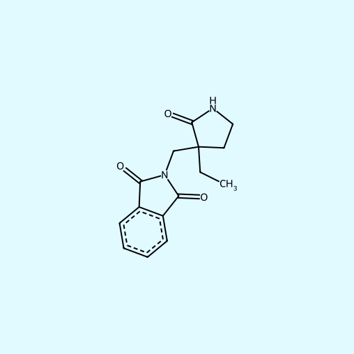 CCC1(CN2C(=O)c3ccccc3C2=O)CCNC1=O